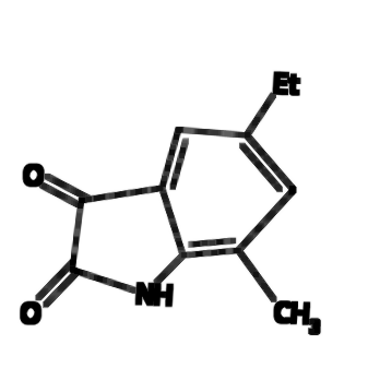 CCc1cc(C)c2c(c1)C(=O)C(=O)N2